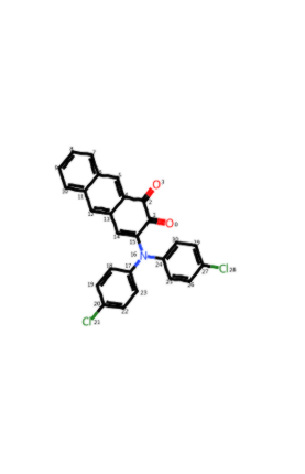 O=C1C(=O)c2cc3ccccc3cc2C=C1N(c1ccc(Cl)cc1)c1ccc(Cl)cc1